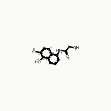 O=C(CO)Nc1cccc2c(O)c(Cl)ccc12